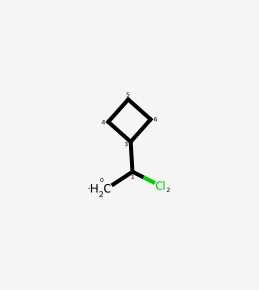 [CH2]C(Cl)C1CCC1